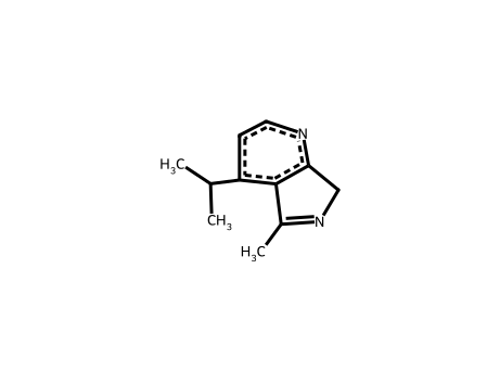 CC1=NCc2nccc(C(C)C)c21